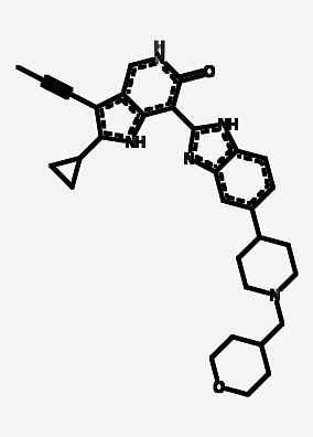 CC#Cc1c(C2CC2)[nH]c2c(-c3nc4cc(C5CCN(CC6CCOCC6)CC5)ccc4[nH]3)c(=O)[nH]cc12